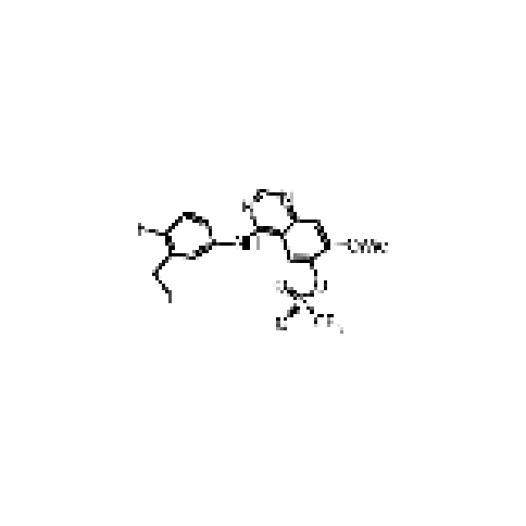 COc1cc2ncnc(Nc3ccc(F)c(CI)c3)c2cc1OS(=O)(=O)C(F)(F)F